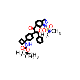 CN(C)S(=O)(=O)n1ncc2ccc3c(=O)c(-c4ccc(C5(NC(=O)OC(C)(C)C)CCC5)cc4)c(-c4ccccc4)oc3c21